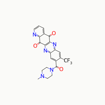 CN1CCN(C(=O)c2cc3nc4c(nc3cc2C(F)(F)F)C(=O)c2cccnc2C4=O)CC1